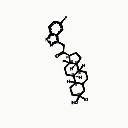 CC[C@@]1(O)CC[C@H]2C(CC[C@@H]3[C@@H]2CC[C@]2(C)[C@@H](C(=O)Cn4nnc5ccc(F)cc54)CC[C@@H]32)C1